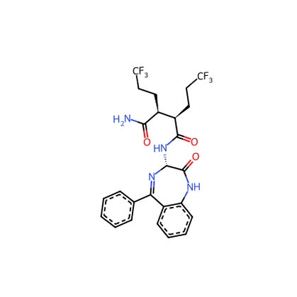 NC(=O)[C@@H](CCC(F)(F)F)[C@@H](CCC(F)(F)F)C(=O)N[C@H]1N=C(c2ccccc2)c2ccccc2NC1=O